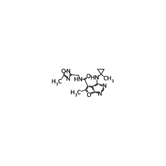 Cc1nc(CNC(=O)c2c(C)oc3ncnc(NC4(C)CC4)c23)no1